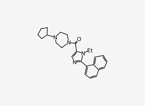 CCn1c(C(=O)N2CCN(C3CCCC3)CC2)cnc1-c1cccc2ccccc12